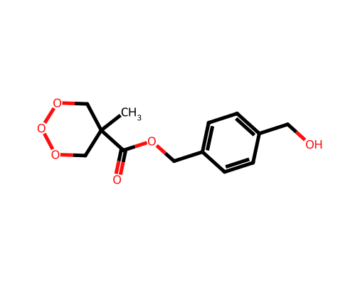 CC1(C(=O)OCc2ccc(CO)cc2)COOOC1